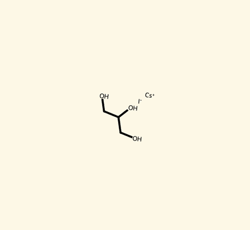 OCC(O)CO.[Cs+].[I-]